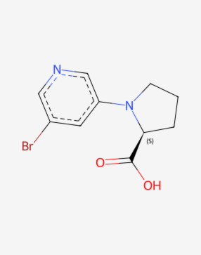 O=C(O)[C@@H]1CCCN1c1cncc(Br)c1